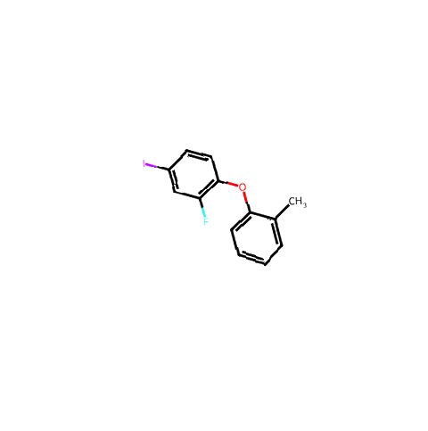 Cc1ccccc1Oc1ccc(I)cc1F